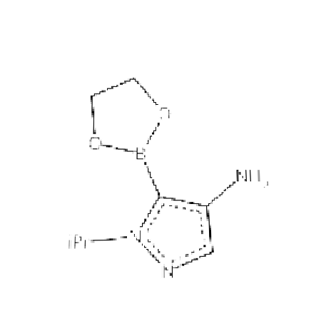 CC(C)n1ncc(N)c1B1OCCO1